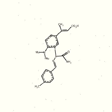 CCCCN(CCCC)c1ccc(/C(C)=C/C(=O)O)cc1N(/N=C/c1ccc(C)cc1)C(N)=O